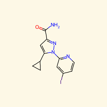 NC(=O)c1cc(C2CC2)n(-c2cc(I)ccn2)n1